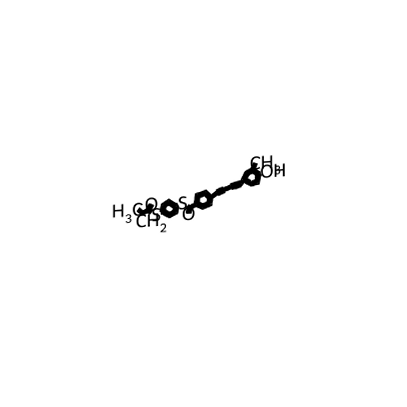 C=C(C)C(=O)Sc1ccc(SC(=O)c2ccc(C#CC#Cc3ccc(O)c(C)c3)cc2)cc1